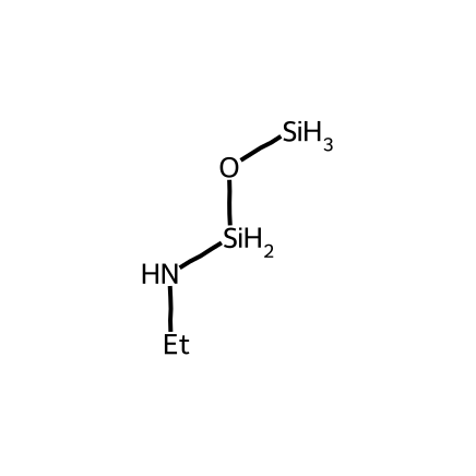 CCN[SiH2]O[SiH3]